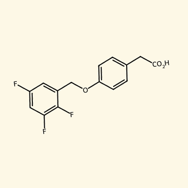 O=C(O)Cc1ccc(OCc2cc(F)cc(F)c2F)cc1